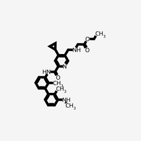 CCOC(=O)CNCc1cnc(C(=O)Nc2cccc(-c3cccc(NC)c3C)c2C)cc1C1CC1